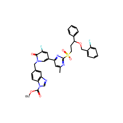 Cc1cc(-c2cc(F)c(=O)n(Cc3ccc4c(c3)ncn4C(=O)OC(C)(C)C)c2)nc(S(=O)(=O)CCC(OCc2ccccc2F)c2ccccc2)n1